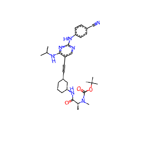 CC(C)Nc1nc(Nc2ccc(C#N)cc2)ncc1C#C[C@@H]1CCC[C@H](NC(=O)[C@H](C)N(C)C(=O)OC(C)(C)C)C1